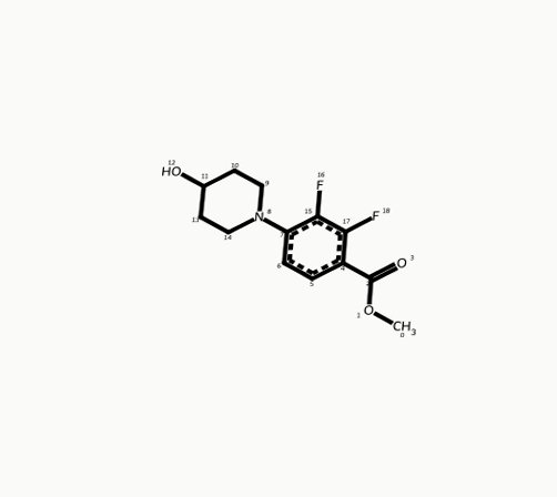 COC(=O)c1ccc(N2CCC(O)CC2)c(F)c1F